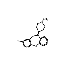 CN1CCC(N2Cc3cc(F)ccc3Oc3ccccc32)CC1